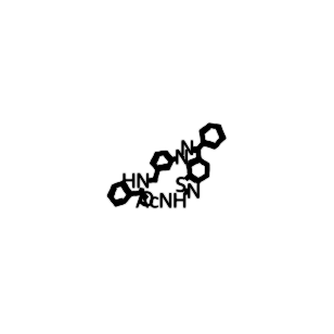 CC(=O)Nc1nc2c(s1)-c1c(c(-c3ccccc3)nn1-c1cccc(CNC(=O)c3ccccc3)c1)CC2